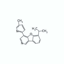 Cc1ccc(-c2cncc3c2oc2c(C(C)C)cccc23)nc1